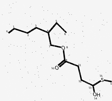 CCCCC(CC)COC(=O)CCC(O)SC